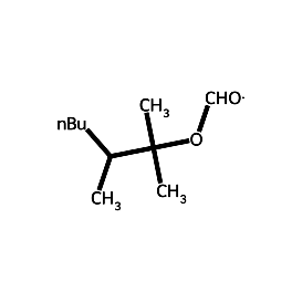 CCCCC(C)C(C)(C)O[C]=O